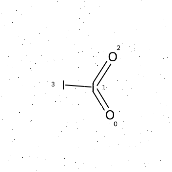 O=I(=O)I